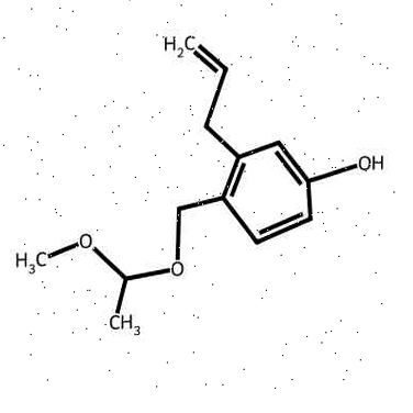 C=CCc1cc(O)ccc1COC(C)OC